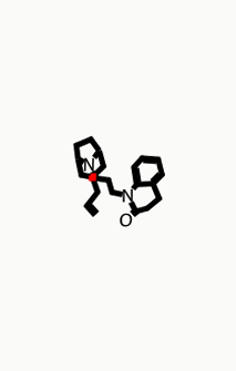 C=CCC1CC2CCC(C1)N2CCCN1C(=O)CCc2ccccc21